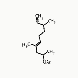 C=CC(C)CCC=C(C)CC(C)OC(C)=O